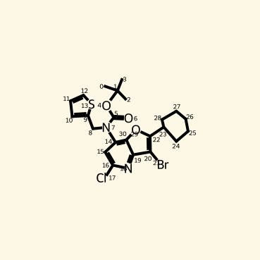 CC(C)(C)OC(=O)N(Cc1cccs1)c1cc(Cl)nc2c(Br)c(C3CCCCC3)oc12